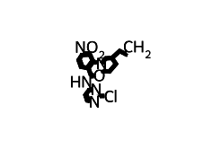 C=CCC1CCCN(c2cc([N+](=O)[O-])ccc2C(=O)Nc2ccnc(Cl)n2)C1